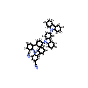 N#Cc1ccc2c(c1)c1ccccc1n2-c1c(C#N)cccc1-c1ccc(-n2c3ccccc3c3cc(-n4c5ccccc5c5ccccc54)ccc32)cc1